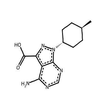 C[C@H]1CC[C@H](n2nc(C(=O)O)c3c(N)ncnc32)CC1